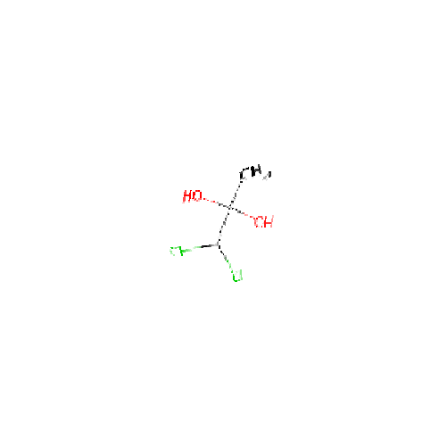 CC(O)(O)C(Cl)Cl